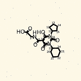 O=C(O)CNC(=O)c1c(O)n(C2CCCC2)c(=O)n(C2CCCCC2)c1=O